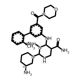 CCCCCCCCCN1C(Nc2cc(C(=O)N3CCOCC3)cc(-c3ccccc3C)c2)C(C(N)=O)CNC1N1CCC[C@H](N)C1